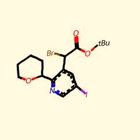 CC(C)(C)OC(=O)C(Br)c1cc(I)cnc1C1CCCCO1